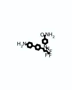 NC(=O)c1ccc(-n2nc(C(F)(F)F)cc2-c2ccc(-c3ccc(N)cc3)cc2)cc1